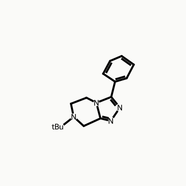 CC(C)(C)N1CCn2c(nnc2-c2ccccc2)C1